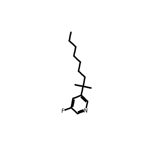 CCCCCCCC(C)(C)c1cncc(F)c1